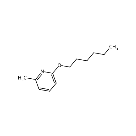 CCCCCCOc1cccc(C)n1